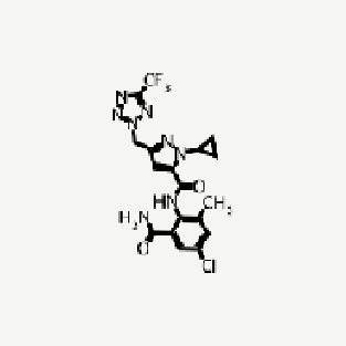 Cc1cc(Cl)cc(C(N)=O)c1NC(=O)c1cc(Cn2nnc(C(F)(F)F)n2)nn1C1CC1